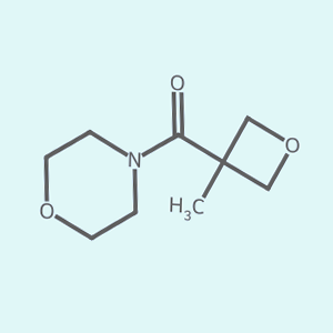 CC1(C(=O)N2CCOCC2)COC1